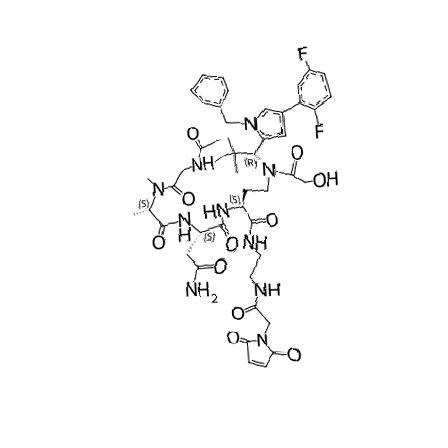 CC(=O)NCC(=O)N(C)[C@@H](C)C(=O)N[C@@H](CC(N)=O)C(=O)N[C@@H](CCN(C(=O)CO)[C@@H](c1cc(-c2cc(F)ccc2F)cn1Cc1ccccc1)C(C)(C)C)C(=O)NCCNC(=O)CN1C(=O)C=CC1=O